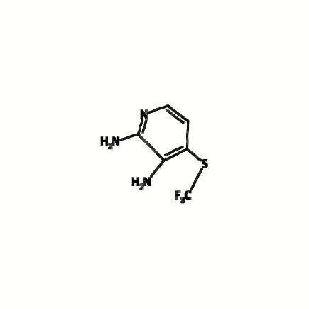 Nc1nccc(SC(F)(F)F)c1N